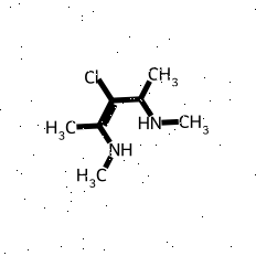 CN/C(C)=C(/Cl)C(C)NC